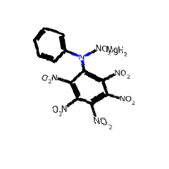 O=[N+]([O-])c1c(N(c2ccccc2)[N+](=O)[O-])c([N+](=O)[O-])c([N+](=O)[O-])c([N+](=O)[O-])c1[N+](=O)[O-].[MgH2]